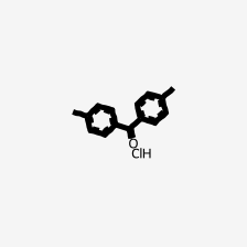 Cc1ccc(C(=O)c2ccc(C)cc2)cc1.Cl